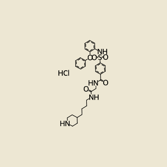 Cl.O=C(CNC(=O)c1ccc(S(=O)(=O)Nc2ccccc2Oc2ccccc2)cc1)NCCCCC1CCNCC1